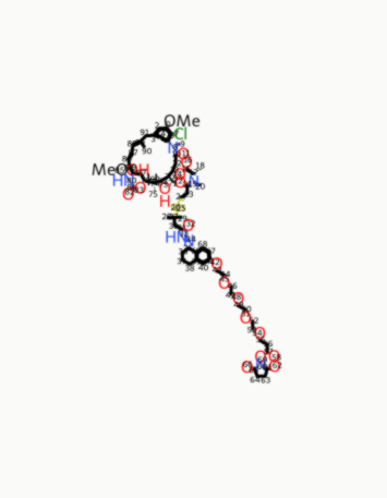 COc1cc2cc(c1Cl)N(C)C(=O)C[C@H](OC(=O)[C@H](C)N(C)C(=O)CCSSC(C)(C)CC(=O)N/N=C1\CCCc3cc(OCCOCCOCCOCCOCCC(=O)ON4C(=O)CCC4=O)ccc31)[C@@H](C)[C@@H](O)[C@H](C)[C@@H]1C[C@@](O)(NC(=O)O1)[C@H](OC)/C=C/C=C(\C)C2